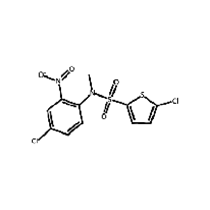 CN(c1ccc(Cl)cc1[N+](=O)[O-])S(=O)(=O)c1ccc(Cl)s1